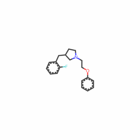 Fc1ccccc1CC1CCN(CCOc2ccccc2)C1